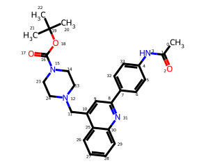 CC(=O)Nc1ccc(-c2cc(CN3CCN(C(=O)OC(C)(C)C)CC3)c3ccccc3n2)cc1